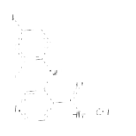 O=C(NO)c1ccncc1Nc1ccc(I)cc1F